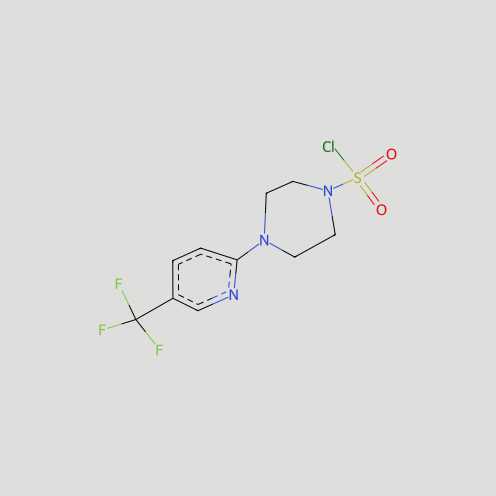 O=S(=O)(Cl)N1CCN(c2ccc(C(F)(F)F)cn2)CC1